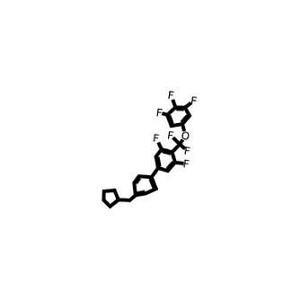 Fc1cc(OC(F)(F)c2c(F)cc(-c3ccc(CC4CCCC4)cc3)cc2F)cc(F)c1F